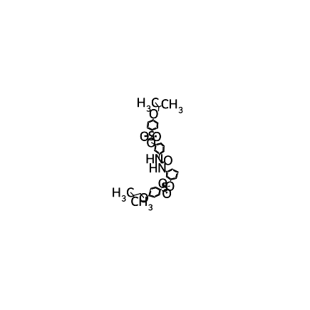 CC(C)COc1ccc(S(=O)(=O)Oc2cccc(NC(=O)Nc3cccc(OS(=O)(=O)c4ccc(OCC(C)C)cc4)c3)c2)cc1